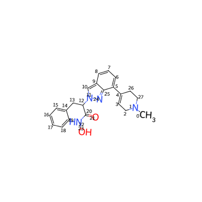 CN1CC=C(c2cccc3cn(C(Cc4ccccc4)C(=O)NO)nc23)CC1